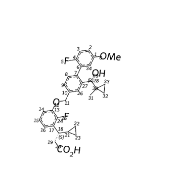 COc1ccc(F)c(-c2ccc(COc3cccc([C@@H](CC(=O)O)C4CC4)c3F)cc2[C@H](O)C2(C)CC2)c1